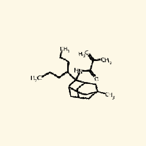 C=C(C)C(=O)NC1(C(CCC)CCC)C2CC3CC1CC(C)(C3)C2